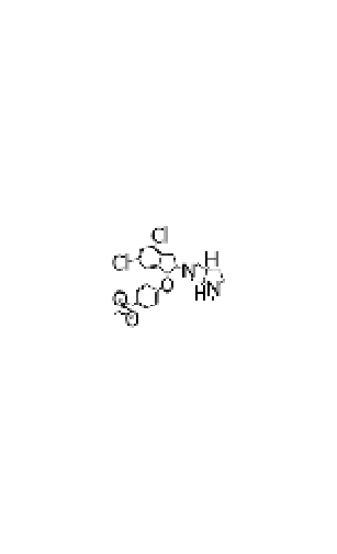 CN1CC[C@@H]2CN([C@H]3Cc4c(Cl)cc(Cl)cc4[C@@H]3Oc3ccc(S(C)(=O)=O)cc3)C[C@H]21